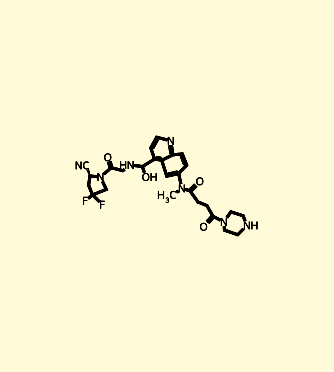 CN(C(=O)CCC(=O)N1CCNCC1)c1ccc2nccc(C(O)NCC(=O)N3CC(F)(F)C[C@H]3C#N)c2c1